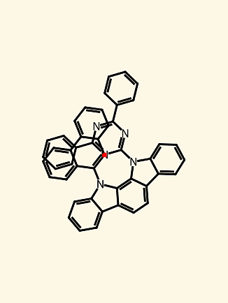 C1=CCC2C=C(n3c4ccccc4c4ccc5c6ccccc6n(-c6nc(-c7ccccc7)nc(-c7ccccc7)n6)c5c43)c3ccccc3C2=C1